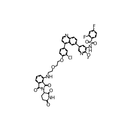 COc1ncc(-c2ccc3nccc(-c4ccc(OCCOCCNc5cccc6c5C(=O)N(C5CCC(=O)NC5=O)C6=O)c(Cl)c4)c3c2)cc1NS(=O)(=O)c1ccc(F)cc1F